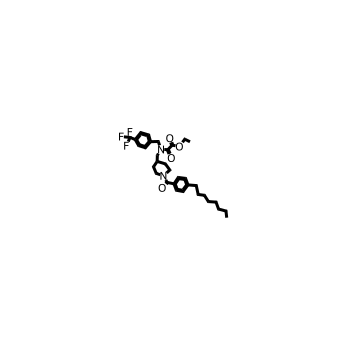 CCCCCCCCc1ccc(C(=O)N2CCC(CN(Cc3ccc(C(F)(F)F)cc3)C(=O)C(=O)OCC)CC2)cc1